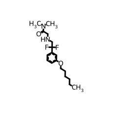 CCCCCCOc1cccc(C(F)(F)CNCC(=O)N(C)C)c1